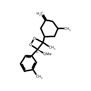 C=C1CC(C)CC(C2(C)OO[C@@]2(OC)c2cccc(C)c2)C1